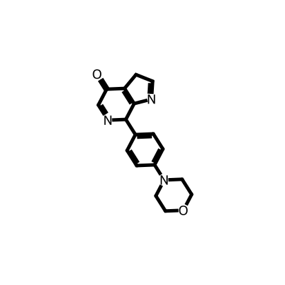 O=C1C=NC(c2ccc(N3CCOCC3)cc2)C2=C1CC=N2